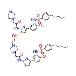 CCCCCc1ccc(S(=O)(=O)Nc2cc(-c3csc(NC(=O)CN4CCN(C)CC4)n3)ccc2OC)cc1.CCCCCc1ccc(S(=O)(=O)Nc2cc(-c3csc(NC(=O)CN4CCN(CCO)CC4)n3)ccc2OC)cc1